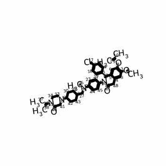 COc1cc2c(cc1OC(C)C)[C@H](c1ccc(Cl)cc1)N(c1ccc(N(C)CC3CCC(N4CCN(C(C)C)C(=O)C4)CC3)cc1)C(=O)C2